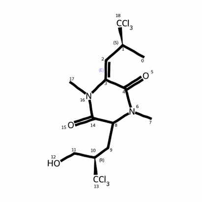 C[C@@H](/C=C1\C(=O)N(C)C(C[C@H](CO)C(Cl)(Cl)Cl)C(=O)N1C)C(Cl)(Cl)Cl